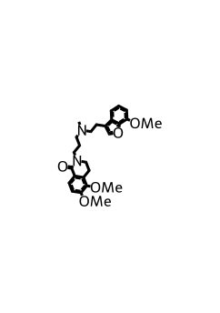 COc1ccc2c(c1OC)CCN(CCCN(C)CCc1coc3c(OC)cccc13)C2=O